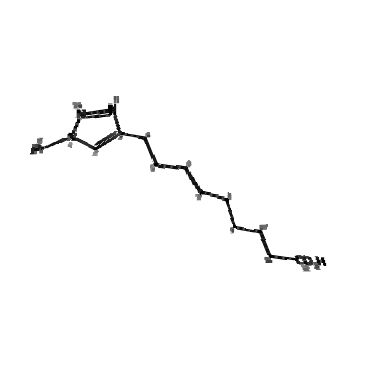 CC(C)n1cc(CCCCCCCCC(=O)O)nn1